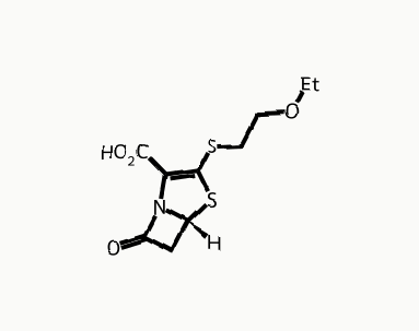 CCOCCSC1=C(C(=O)O)N2C(=O)C[C@H]2S1